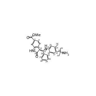 COC(=O)c1ccc2c(c1)NC(=O)C2=C(Nc1ccc(C(C)(C)N)c(C)c1)c1ccccc1